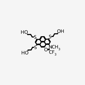 CN(C(=O)C(F)(F)F)c1cc(SCCCO)c2ccc3c(SCCCO)cc(SCCCO)c4ccc1c2c34